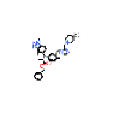 CCC1CCN(Cc2nccn2Cc2cc([C@H](c3ccc4c(nnn4C)c3C)C(C)C(=O)OCc3ccccc3)ccc2C)CC1